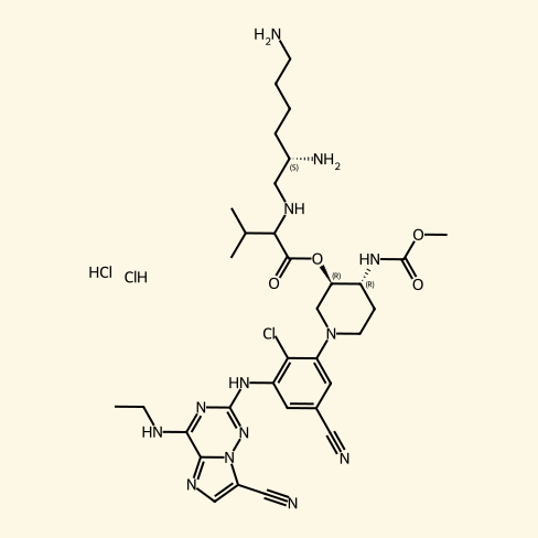 CCNc1nc(Nc2cc(C#N)cc(N3CC[C@@H](NC(=O)OC)[C@H](OC(=O)C(NC[C@@H](N)CCCCN)C(C)C)C3)c2Cl)nn2c(C#N)cnc12.Cl.Cl